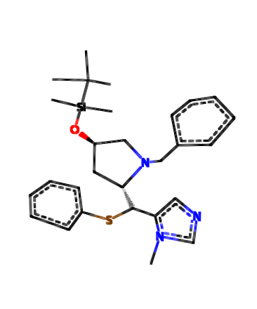 Cn1cncc1C(Sc1ccccc1)[C@@H]1C[C@@H](O[Si](C)(C)C(C)(C)C)CN1Cc1ccccc1